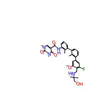 COc1cc(-c2cccc(-c3cccc(NC(=O)c4cn(C)c(=O)n(C)c4=O)c3C)c2C)cc(F)c1CNC(C)(C)CO